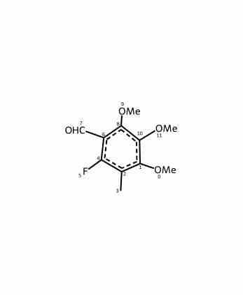 COc1c(C)c(F)c(C=O)c(OC)c1OC